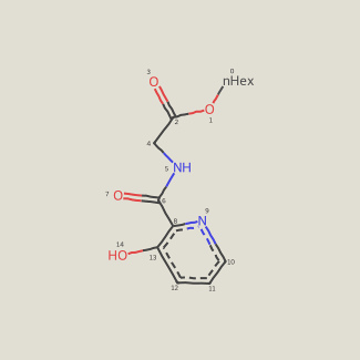 CCCCCCOC(=O)CNC(=O)c1ncccc1O